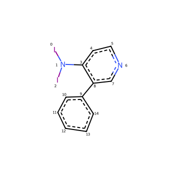 IN(I)c1ccncc1-c1ccccc1